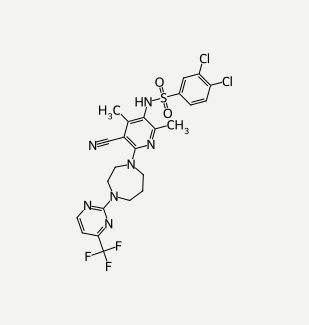 Cc1nc(N2CCCN(c3nccc(C(F)(F)F)n3)CC2)c(C#N)c(C)c1NS(=O)(=O)c1ccc(Cl)c(Cl)c1